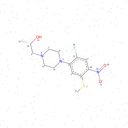 CSc1cc(N2CCN(C[C@H](C)O)CC2)c(F)cc1[N+](=O)[O-]